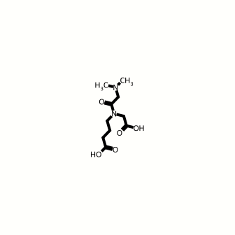 CN(C)CC(=O)N(CCCC(=O)O)CC(=O)O